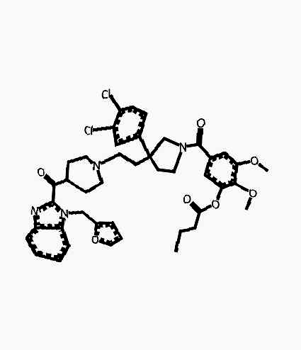 CCCC(=O)Oc1cc(C(=O)N2CCC(CCN3CCC(C(=O)c4nc5ccccc5n4Cc4ccco4)CC3)(c3ccc(Cl)c(Cl)c3)C2)cc(OC)c1OC